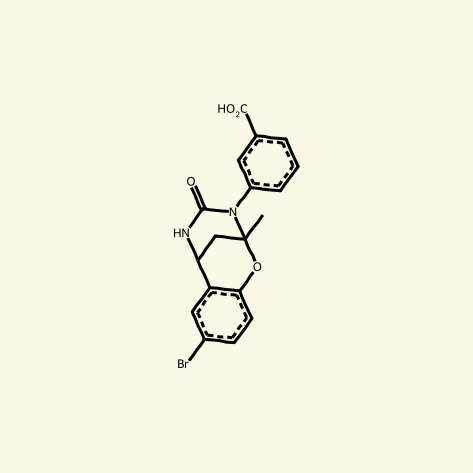 CC12CC(NC(=O)N1c1cccc(C(=O)O)c1)c1cc(Br)ccc1O2